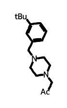 CC(=O)CN1CCN(Cc2cccc(C(C)(C)C)c2)CC1